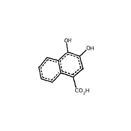 O=C(O)c1cc(O)c(O)c2ccccc12